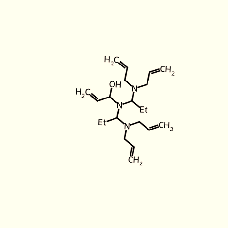 C=CCN(CC=C)C(CC)N(C(O)C=C)C(CC)N(CC=C)CC=C